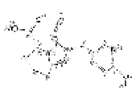 COc1ccc(Cn2nc3n(c2=O)[C@@H](C(=O)O)CCC3)cn1